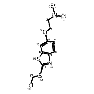 CCN(CC)CCOc1ccc2nc(SCCl)sc2c1